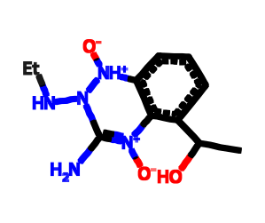 CCNN1C(N)=[N+]([O-])c2c(C(C)O)cccc2[NH+]1[O-]